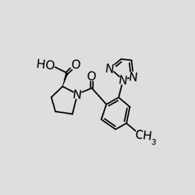 Cc1ccc(C(=O)N2CCC[C@H]2C(=O)O)c(-n2nccn2)c1